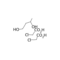 CC(O)CCO.O=C(O)CCl.O=C(O)CCl